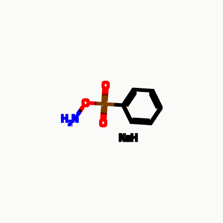 NOS(=O)(=O)c1ccccc1.[NaH]